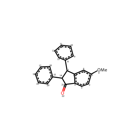 COc1ccc2c(c1)C(c1ccccc1)C(c1ccccc1)C2=O